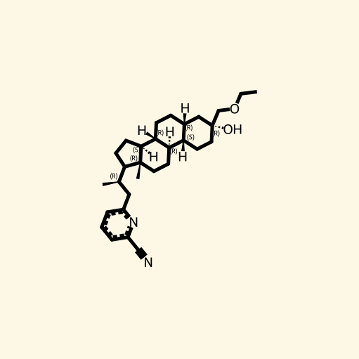 CCOC[C@@]1(O)CC[C@H]2[C@H](CC[C@@H]3[C@@H]2CC[C@]2(C)C([C@H](C)Cc4cccc(C#N)n4)CC[C@@H]32)C1